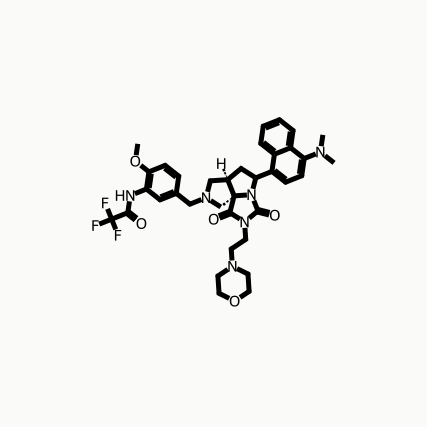 COc1ccc(CN2C[C@H]3CC(c4ccc(N(C)C)c5ccccc45)N4C(=O)N(CCN5CCOCC5)C(=O)[C@@]34C2)cc1NC(=O)C(F)(F)F